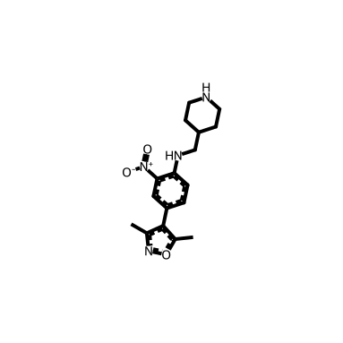 Cc1noc(C)c1-c1ccc(NCC2CCNCC2)c([N+](=O)[O-])c1